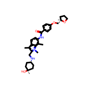 Cc1c(CN[C@H]2CC[C@](C)(O)CC2)n(C)c2c(C)c(NC(=O)c3ccc(OC[C@@H]4CCCO4)cc3)ccc12